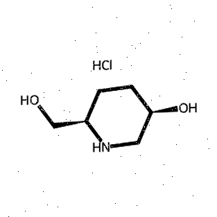 Cl.OC[C@H]1CC[C@@H](O)CN1